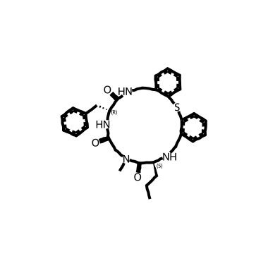 CCC[C@@H]1NCc2ccccc2Sc2ccccc2CNC(=O)[C@@H](Cc2ccccc2)NC(=O)CN(C)C1=O